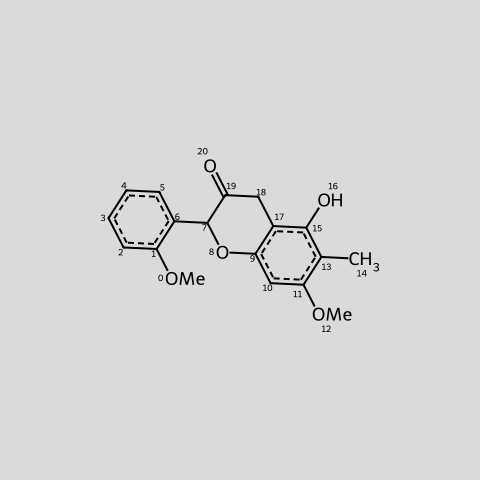 COc1ccccc1C1Oc2cc(OC)c(C)c(O)c2CC1=O